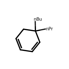 CCCCC1(CCC)C=CC=CC1